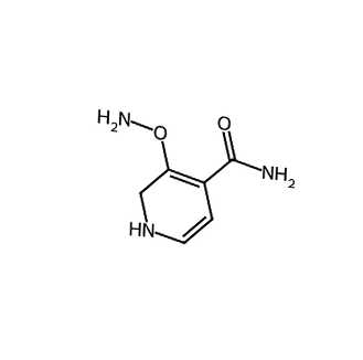 NOC1=C(C(N)=O)C=CNC1